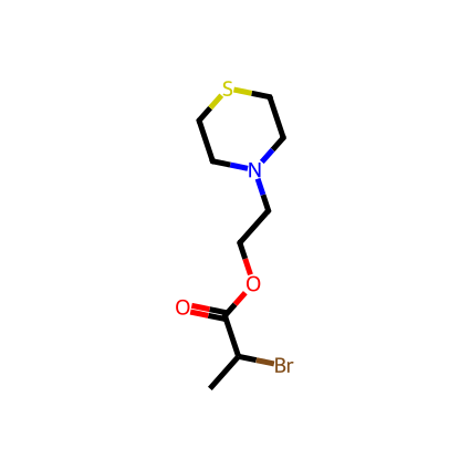 CC(Br)C(=O)OCCN1CCSCC1